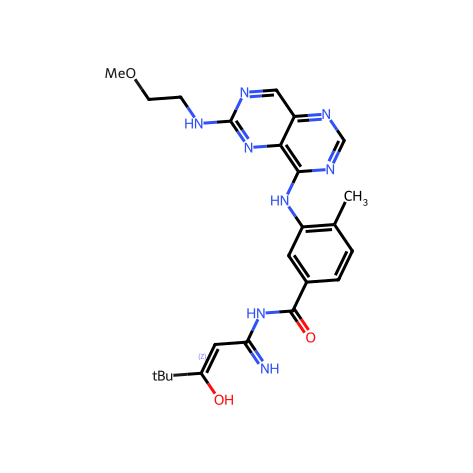 COCCNc1ncc2ncnc(Nc3cc(C(=O)NC(=N)/C=C(\O)C(C)(C)C)ccc3C)c2n1